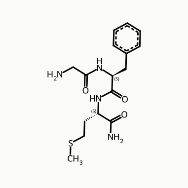 CSCC[C@H](NC(=O)[C@H](Cc1ccccc1)NC(=O)CN)C(N)=O